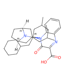 CC1CC(C)CC(CC2CCCCC2)(N2[C@@H]3CC[C@H]2C[C@@H](n2c(=O)c(C(=O)O)nc4ccccc42)C3)C1